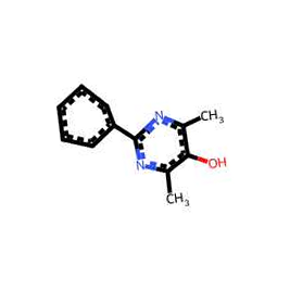 Cc1nc(-c2ccccc2)nc(C)c1O